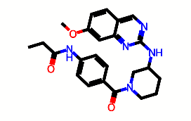 CCC(=O)Nc1ccc(C(=O)N2CCCC(Nc3ncc4ccc(OC)cc4n3)C2)cc1